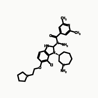 Cc1cc(C(=O)N(N)C2Nc3ccc(OCCN4CCCC4)c(Cl)c3N2[C@@H]2CCCCN(N)C2)cc(C)n1